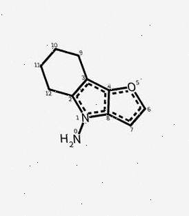 Nn1c2c(c3occc31)CCCC2